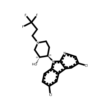 O[C@@H]1CN(CCC(F)(F)F)CC[C@H]1n1c2ccc(Cl)cc2c2cc(Cl)cnc21